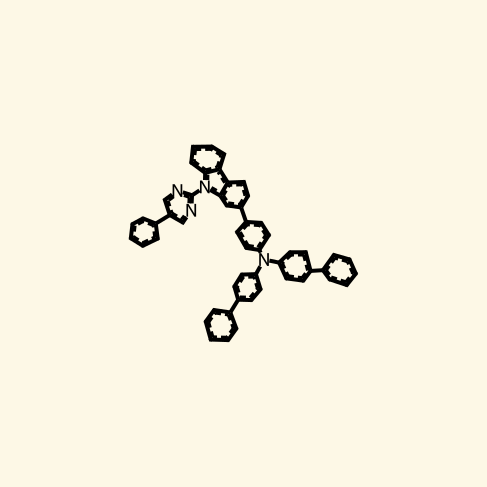 c1ccc(-c2ccc(N(c3ccc(-c4ccccc4)cc3)c3ccc(-c4ccc5c6ccccc6n(-c6ncc(-c7ccccc7)cn6)c5c4)cc3)cc2)cc1